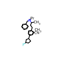 CC#N.CC(C)N(Cc1ccccc1)C(C)CCc1ccc(C2CCC(F)C2)cc1